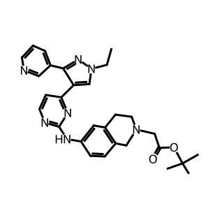 CCn1cc(-c2ccnc(Nc3ccc4c(c3)CCN(CC(=O)OC(C)(C)C)C4)n2)c(-c2cccnc2)n1